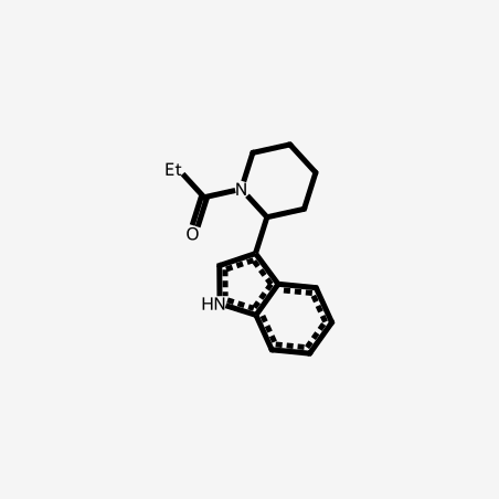 CCC(=O)N1CCCCC1c1c[nH]c2ccccc12